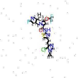 Cc1cnc(F)cc1Cn1cc(OC(F)F)cc1C(=O)Nc1nc(/C=C/c2ncn(C3CC3)c2Cl)cs1